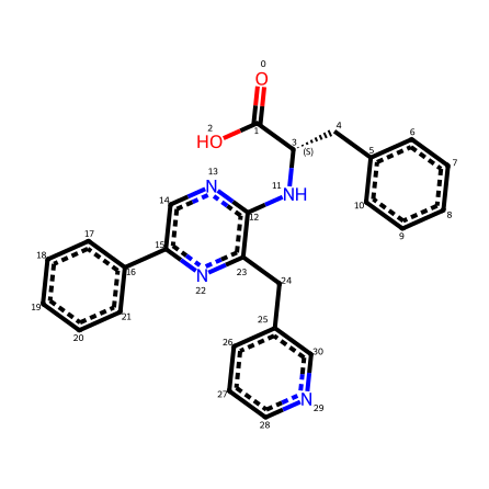 O=C(O)[C@H](Cc1ccccc1)Nc1ncc(-c2ccccc2)nc1Cc1cccnc1